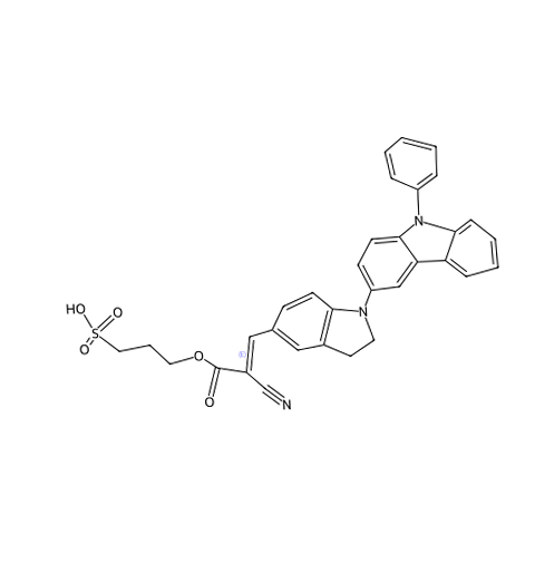 N#C/C(=C\c1ccc2c(c1)CCN2c1ccc2c(c1)c1ccccc1n2-c1ccccc1)C(=O)OCCCS(=O)(=O)O